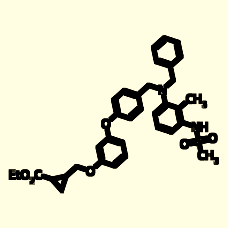 CCOC(=O)C1CC1COc1cccc(Oc2ccc(CN(Cc3ccccc3)c3cccc(NS(C)(=O)=O)c3C)cc2)c1